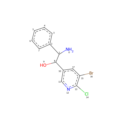 NC(c1ccccc1)C(O)c1cnc(Cl)c(Br)c1